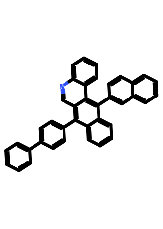 c1ccc(-c2ccc(-c3c4ccccc4c(-c4ccc5ccccc5c4)c4c3cnc3ccccc34)cc2)cc1